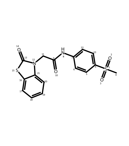 CS(=O)(=O)c1ccc(NC(=O)Cn2c(=O)sc3ccccc32)cc1